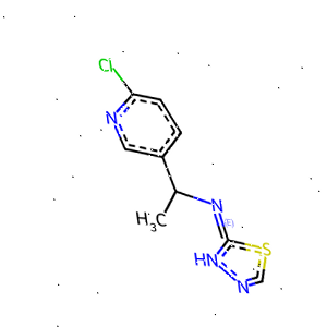 CC(/N=c1\[nH]ncs1)c1ccc(Cl)nc1